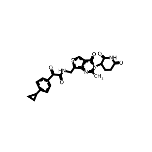 Cc1nc2c(CNC(=O)C(=O)c3ccc(C4CC4)cc3)scc2c(=O)n1C1CCC(=O)NC1=O